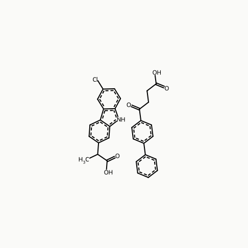 CC(C(=O)O)c1ccc2c(c1)[nH]c1ccc(Cl)cc12.O=C(O)CCC(=O)c1ccc(-c2ccccc2)cc1